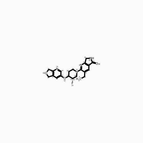 CCc1cc2c(nc1N1CCC(Oc3cnc4c(c3)COC4)[C@@H](F)C1)CNC2=O